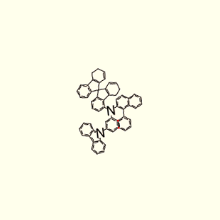 C1=CC2=C(CC1)c1ccccc1C21C2=C(CCC=C2)c2c(N(c3cccc(-n4c5ccccc5c5ccccc54)c3)c3ccc4ccccc4c3-c3ccccc3)cccc21